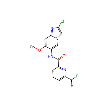 CC(C)Oc1cc2nc(Cl)cn2cc1NC(=O)c1cccc(C(F)F)n1